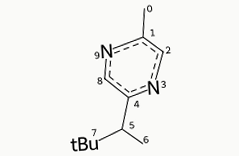 Cc1cnc(C(C)C(C)(C)C)cn1